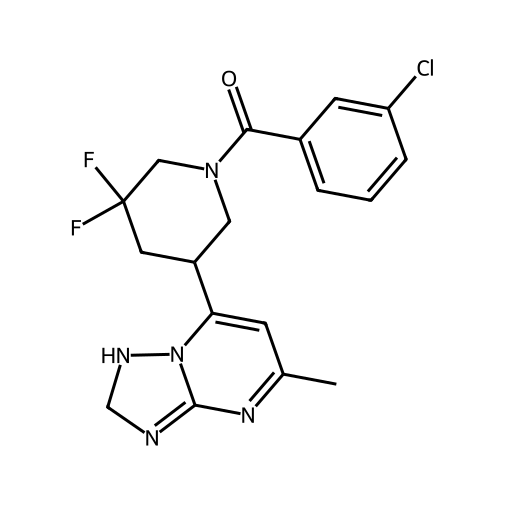 CC1=NC2=NCNN2C(C2CN(C(=O)c3cccc(Cl)c3)CC(F)(F)C2)=C1